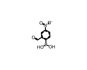 O=Cc1cc([N+](=O)[O-])ccc1B(O)O